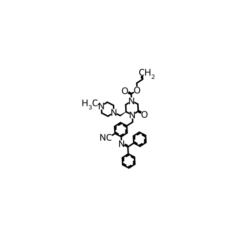 C=CCOC(=O)N1CC(=O)N(Cc2ccc(C#N)c(N=C(c3ccccc3)c3ccccc3)c2)[C@@H](CN2CCN(C)CC2)C1